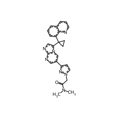 CN(C)C(=O)Cn1ccc(-c2cnc3ncc(C4(c5cccc6cccnc56)CC4)n3c2)n1